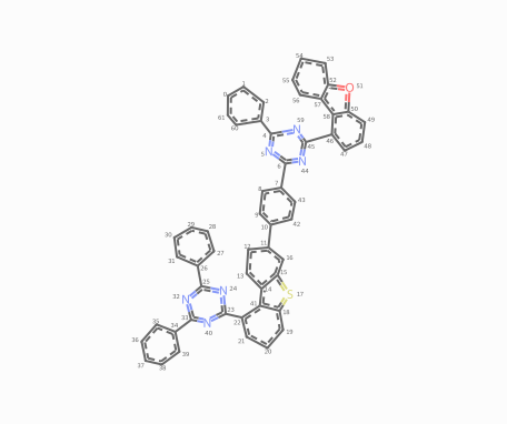 c1ccc(-c2nc(-c3ccc(-c4ccc5c(c4)sc4cccc(-c6nc(-c7ccccc7)nc(-c7ccccc7)n6)c45)cc3)nc(-c3cccc4oc5ccccc5c34)n2)cc1